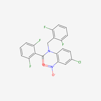 O=C(c1c(F)cccc1F)N(Cc1c(F)cccc1F)c1ccc(Cl)cc1[N+](=O)[O-]